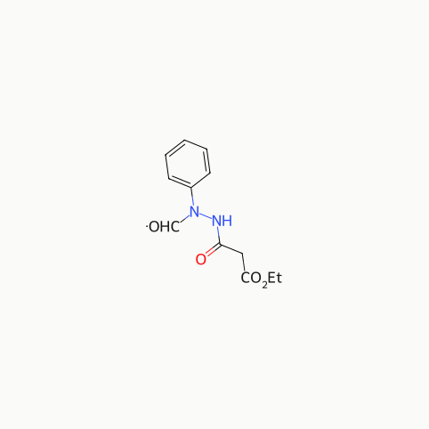 CCOC(=O)CC(=O)NN([C]=O)c1ccccc1